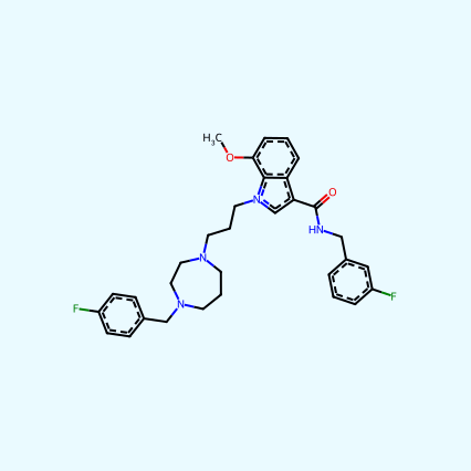 COc1cccc2c(C(=O)NCc3cccc(F)c3)cn(CCCN3CCCN(Cc4ccc(F)cc4)CC3)c12